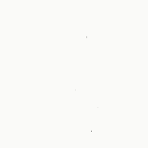 CCN(CCO)Cc1cc(Nc2ccnc3cc(Cl)ccc23)ccc1O